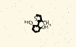 Cc1ccsc1-c1c(O)cccc1O